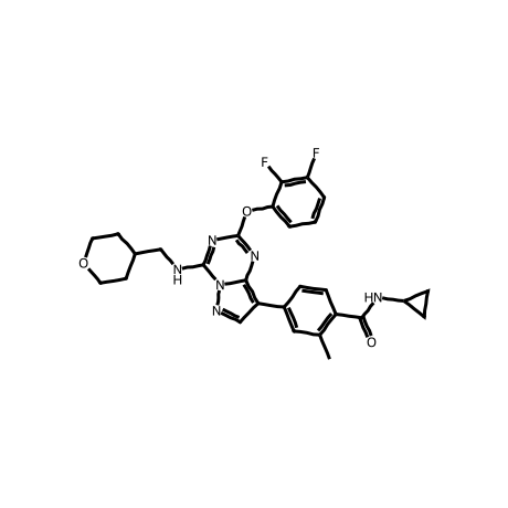 Cc1cc(-c2cnn3c(NCC4CCOCC4)nc(Oc4cccc(F)c4F)nc23)ccc1C(=O)NC1CC1